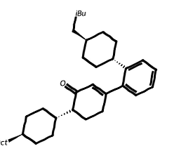 CCCCCCCC[C@H]1CC[C@H](C2CCC(c3ccccc3[C@H]3CC[C@H](CC(C)CC)CC3)=CC2=O)CC1